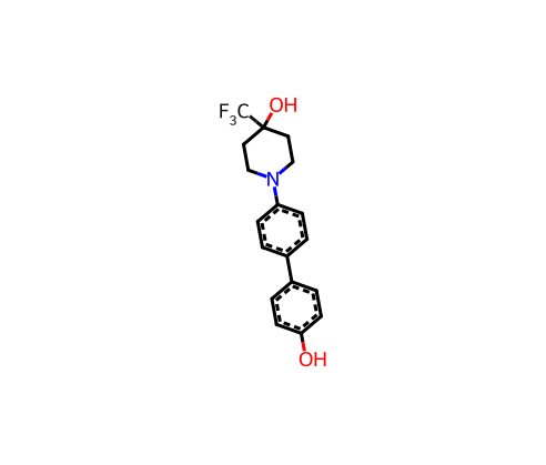 Oc1ccc(-c2ccc(N3CCC(O)(C(F)(F)F)CC3)cc2)cc1